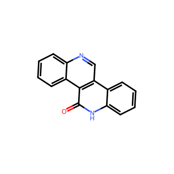 O=c1[nH]c2ccccc2c2cnc3ccccc3c12